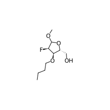 CCCCO[C@@H]1[C@@H](CO)OC(OC)[C@@H]1F